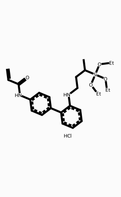 C=CC(=O)Nc1ccc(-c2ccccc2NCCC(C)[Si](OCC)(OCC)OCC)cc1.Cl